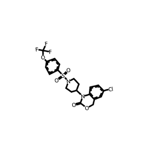 O=C1OCc2cc(Cl)ccc2N1C1CCN(S(=O)(=O)c2ccc(OC(F)(F)F)cc2)CC1